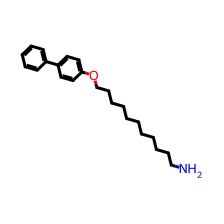 NCCCCCCCCCCCOc1ccc(-c2ccccc2)cc1